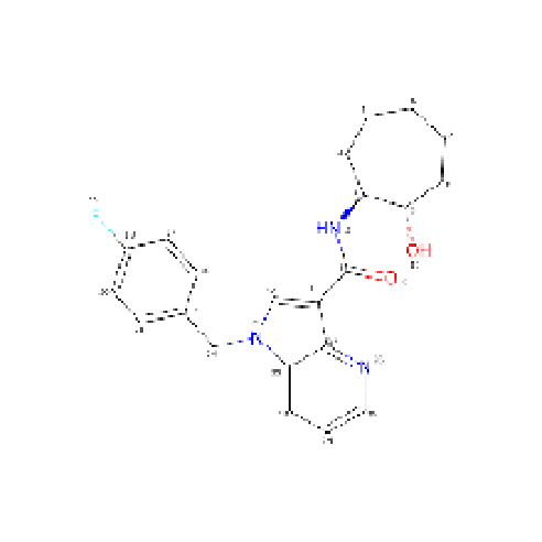 O=C(N[C@H]1CCCCC[C@@H]1O)c1cn(Cc2ccc(F)cc2)c2cccnc12